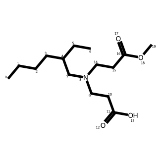 CCCCC(CC)CN(CCC(=O)O)CCC(=O)OC